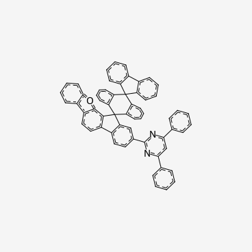 c1ccc(-c2cc(-c3ccccc3)nc(-c3ccc4c(c3)C3(c5ccccc5C5(c6ccccc6-c6ccccc65)c5ccccc53)c3c-4ccc4c3oc3ccccc34)n2)cc1